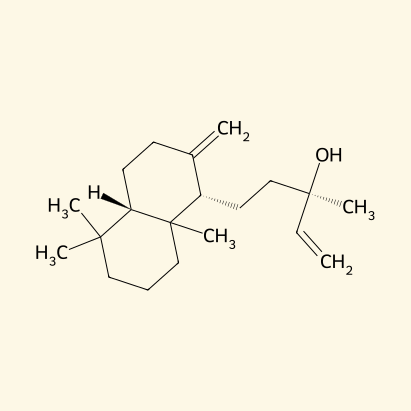 C=C[C@](C)(O)CC[C@H]1C(=C)CC[C@H]2C(C)(C)CCCC12C